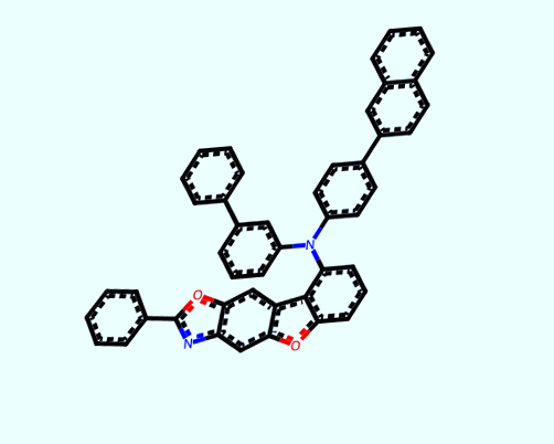 c1ccc(-c2cccc(N(c3ccc(-c4ccc5ccccc5c4)cc3)c3cccc4oc5cc6nc(-c7ccccc7)oc6cc5c34)c2)cc1